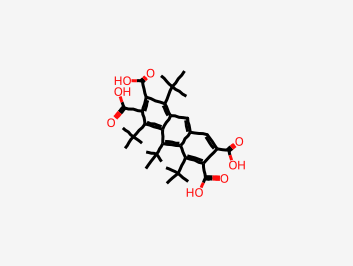 CC(C)(C)c1c(C(=O)O)c(C(=O)O)c(C(C)(C)C)c2c(C(C)(C)C)c3c(C(C)(C)C)c(C(=O)O)c(C(=O)O)cc3cc12